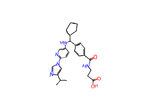 CC(C)c1cn(-c2ccc(NC(c3ccc(C(=O)NCCC(=O)O)cc3)C3CCCC3)cn2)cn1